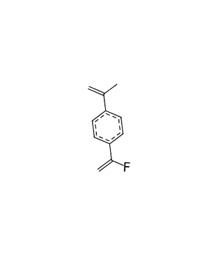 C=C(C)c1ccc(C(=C)F)cc1